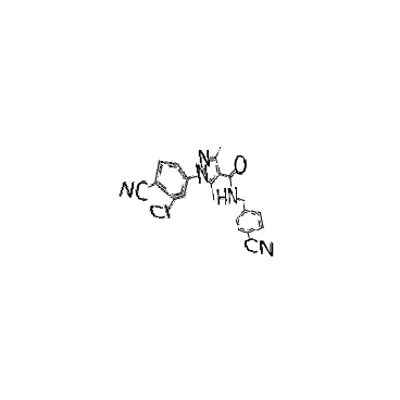 Cc1nn(-c2ccc(C#N)c(Cl)c2)c(C)c1C(=O)NCc1ccc(C#N)cc1